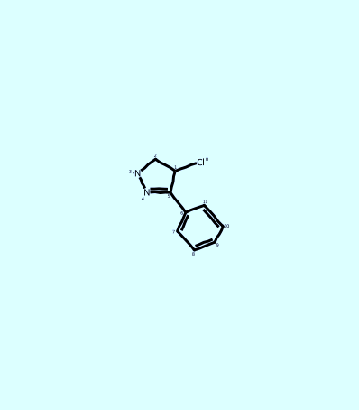 ClC1C[N]N=C1c1ccccc1